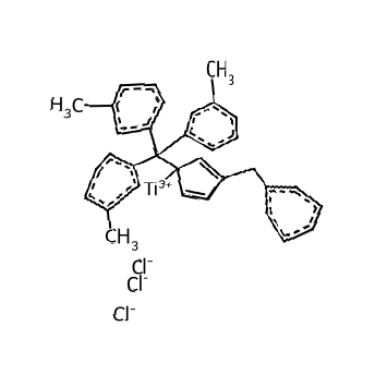 Cc1cccc(C(c2cccc(C)c2)(c2cccc(C)c2)[C]2([Ti+3])C=CC(Cc3ccccc3)=C2)c1.[Cl-].[Cl-].[Cl-]